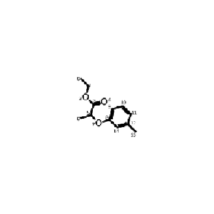 CCOC(=O)C(C)Oc1cccc(C)c1